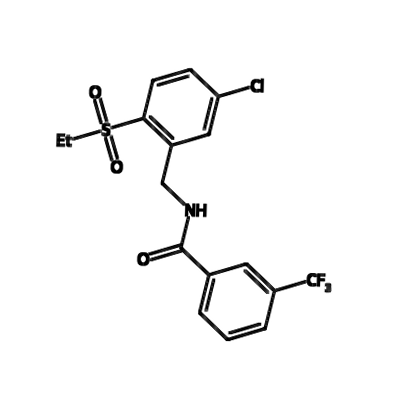 CCS(=O)(=O)c1ccc(Cl)cc1CNC(=O)c1cccc(C(F)(F)F)c1